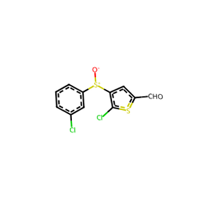 O=Cc1cc([S+]([O-])c2cccc(Cl)c2)c(Cl)s1